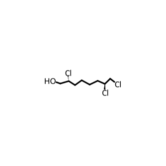 OC[C@H](Cl)CCCC[C@H](Cl)CCl